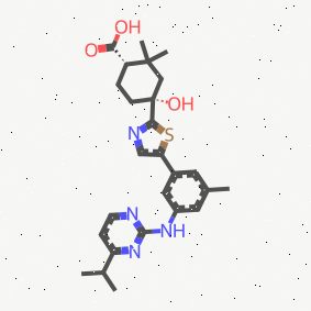 Cc1cc(Nc2nccc(C(C)C)n2)cc(-c2cnc([C@@]3(O)CC[C@H](C(=O)O)C(C)(C)C3)s2)c1